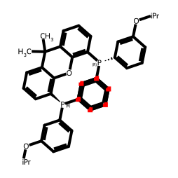 CC(C)Oc1cccc([P@](c2ccccc2)c2cccc3c2Oc2c([P@@](c4ccccc4)c4cccc(OC(C)C)c4)cccc2C3(C)C)c1